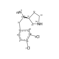 CCCN(Cc1ccc(Cl)c(Cl)c1)[C@H]1CCNC1